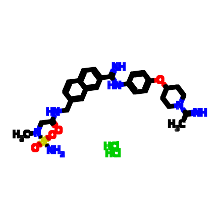 CC(=N)N1CCC(Oc2ccc(NC(=N)c3ccc4ccc(CNC(=O)CN(C)S(N)(=O)=O)cc4c3)cc2)CC1.Cl.Cl